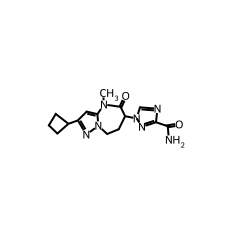 CN1C(=O)C(n2cnc(C(N)=O)n2)CCn2nc(C3CCC3)cc21